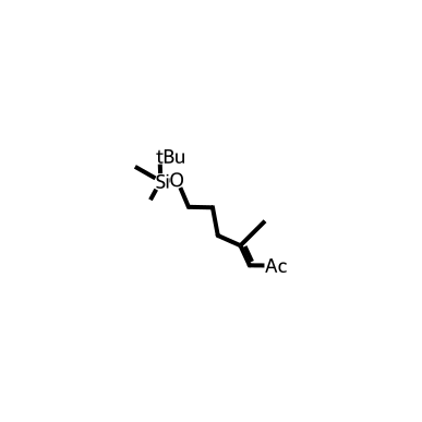 CC(=O)/C=C(\C)CCCO[Si](C)(C)C(C)(C)C